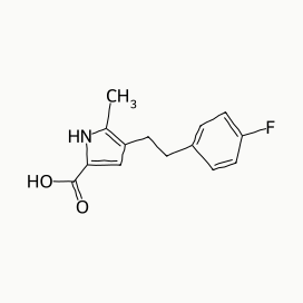 Cc1[nH]c(C(=O)O)cc1CCc1ccc(F)cc1